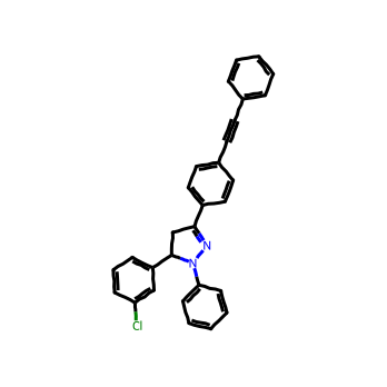 Clc1cccc(C2CC(c3ccc(C#Cc4ccccc4)cc3)=NN2c2ccccc2)c1